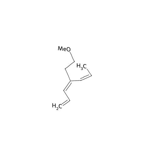 C=C/C=C(\C=C/C)CCOC